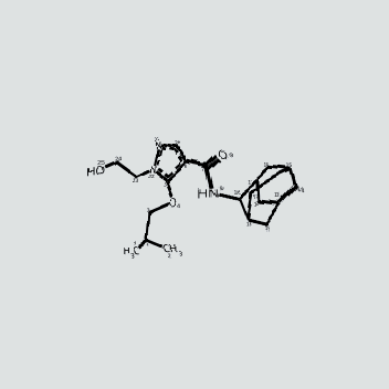 CC(C)COc1c(C(=O)NC2C3CC4CC(C3)CC2C4)cnn1CCO